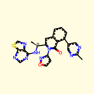 Cc1ncc(-c2cccc3cc([C@H](C)Nc4ncnc5scnc45)n(-c4ccon4)c(=O)c23)cn1